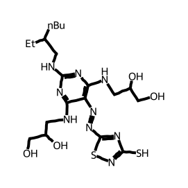 CCCCC(CC)CNc1nc(NCC(O)CO)c(N=Nc2nc(S)ns2)c(NCC(O)CO)n1